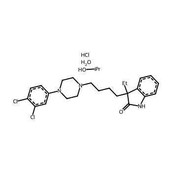 CC(C)O.CCC1(CCCCN2CCN(c3ccc(Cl)c(Cl)c3)CC2)C(=O)Nc2ccccc21.Cl.O